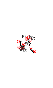 CCCOC(C1CO1)[Si](C)(OCC)OCC.CCO[Si](CCCOCC1CO1)(OCC)OCC